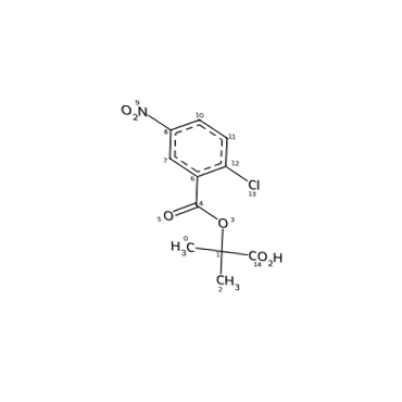 CC(C)(OC(=O)c1cc([N+](=O)[O-])ccc1Cl)C(=O)O